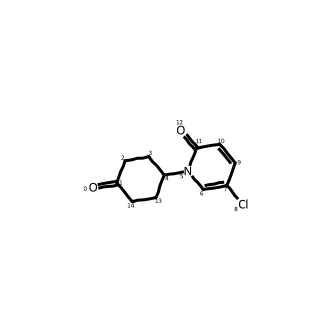 O=C1CCC(n2cc(Cl)ccc2=O)CC1